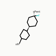 CCCCC[C@]1(F)CC[C@@H](C2CCC(CCC)CC2)CC1